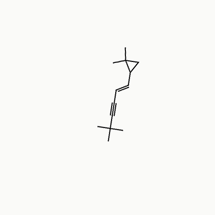 CC(C)(C)C#CC=CC1CC1(C)C